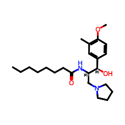 CCCCCCCC(=O)N[C@H](CN1CCCC1)[C@H](O)c1ccc(OC)c(C)c1